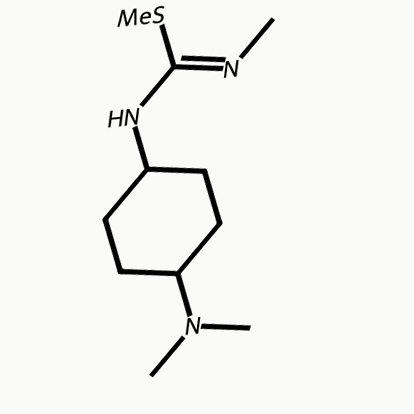 CN=C(NC1CCC(N(C)C)CC1)SC